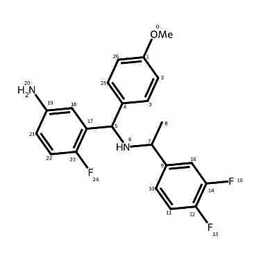 COc1ccc(C(NC(C)c2ccc(F)c(F)c2)c2cc(N)ccc2F)cc1